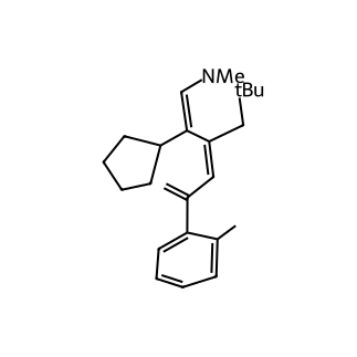 C=C(/C=C(CC(C)(C)C)\C(=C/NC)C1CCCC1)c1ccccc1C